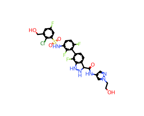 O=C(Nc1cnn(CCO)c1)C1NNc2c1ccc(-c1c(F)ccc(NS(=O)(=O)c3cc(F)cc(CO)c3Cl)c1F)c2F